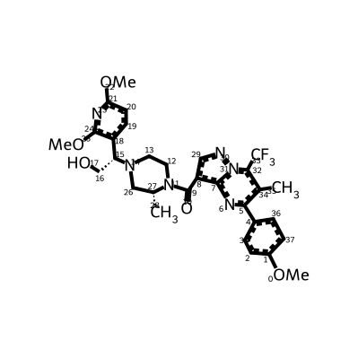 COc1ccc(-c2nc3c(C(=O)N4CCN([C@H](CO)c5ccc(OC)nc5OC)C[C@H]4C)cnn3c(C(F)(F)F)c2C)cc1